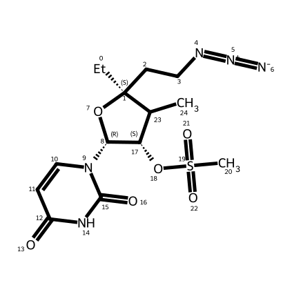 CC[C@@]1(CCN=[N+]=[N-])O[C@@H](n2ccc(=O)[nH]c2=O)[C@@H](OS(C)(=O)=O)C1C